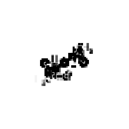 Cc1nc(N2CCCCC2)c2[nH]c(-c3ccc(-c4cc5nc(C)nc(N6CCCCC6)c5[nH]4)cc3)cc2n1.Cl.O